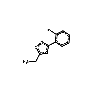 NCc1cc(-c2ccccc2Br)no1